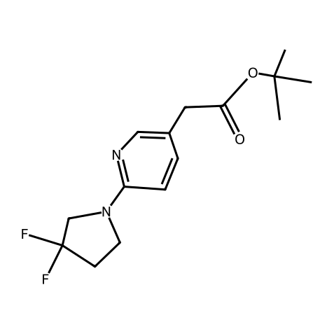 CC(C)(C)OC(=O)Cc1ccc(N2CCC(F)(F)C2)nc1